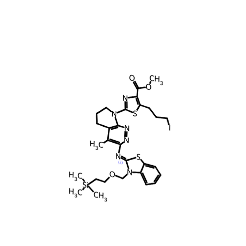 COC(=O)c1nc(N2CCCc3c2nnc(/N=c2\sc4ccccc4n2COCC[Si](C)(C)C)c3C)sc1CCCI